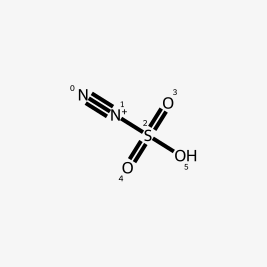 N#[N+]S(=O)(=O)O